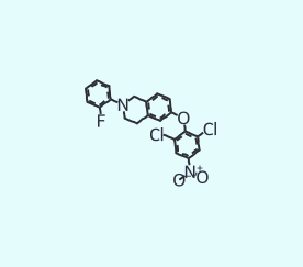 O=[N+]([O-])c1cc(Cl)c(Oc2ccc3c(c2)CCN(c2ccccc2F)C3)c(Cl)c1